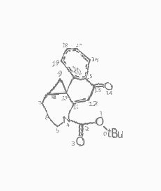 CC(C)(C)OC(=O)N1CCCC2CC23C1=CC(=O)c1ccccc13